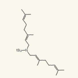 CC(C)=CCC/C(C)=C/CN(C/C=C(\C)CCC=C(C)C)C(C)(C)C